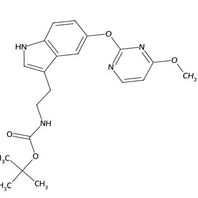 COc1ccnc(Oc2ccc3[nH]cc(CCNC(=O)OC(C)(C)C)c3c2)n1